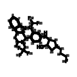 CC1Cc2c([nH]c3ccccc23)C(c2ccc(NC3CN(CCCF)CC3O)cc2OC(F)F)N1CC(F)(F)F